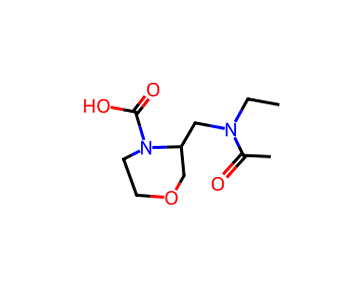 CCN(CC1COCCN1C(=O)O)C(C)=O